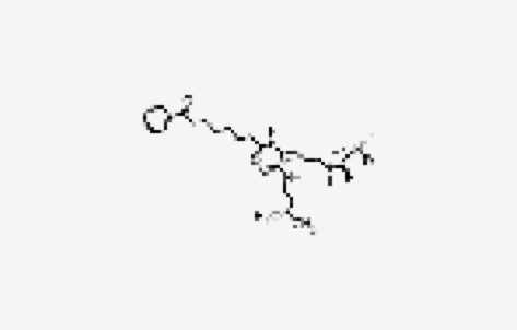 CC(C)C[CH]NC(=O)[C@H](CCCNC(=N)N[N+](=O)[O-])NC(=O)CCCCCCC(=O)c1ccccc1